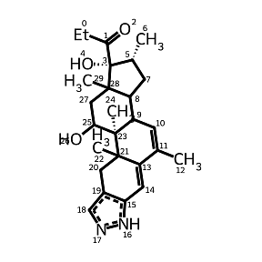 CCC(=O)[C@@]1(O)[C@H](C)CC2C3C=C(C)C4=Cc5[nH]ncc5CC4(C)[C@@]3(C)C(O)CC21C